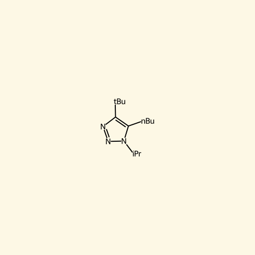 CCCCc1c(C(C)(C)C)nnn1C(C)C